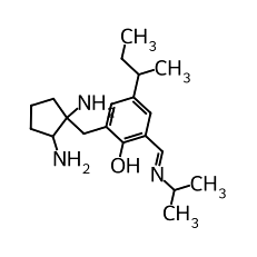 CCC(C)c1cc(C=NC(C)C)c(O)c(CC2(N)CCCC2N)c1